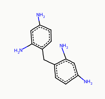 Nc1ccc(Cc2ccc(N)cc2N)c(N)c1